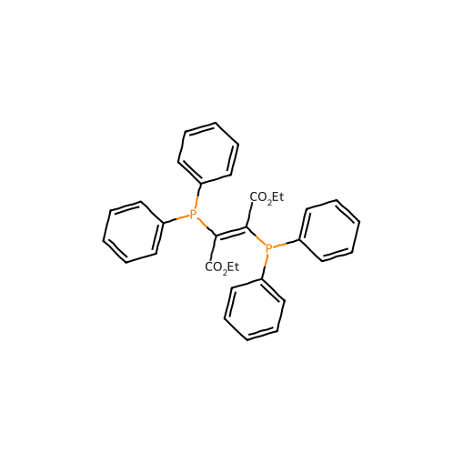 CCOC(=O)C(=C(C(=O)OCC)P(c1ccccc1)c1ccccc1)P(c1ccccc1)c1ccccc1